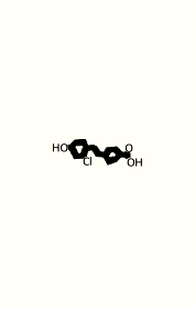 O=C(O)c1ccc(C=Cc2ccc(O)cc2Cl)cc1